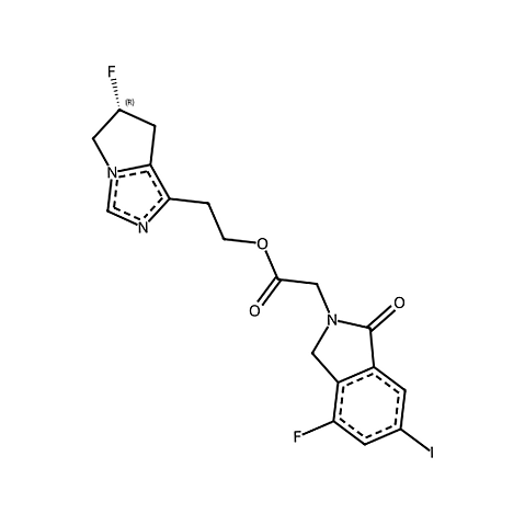 O=C(CN1Cc2c(F)cc(I)cc2C1=O)OCCc1ncn2c1C[C@@H](F)C2